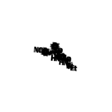 CCN1CC(NC(=O)c2ccc3c(C(=O)[C@@H](NCCc4ccc(C#N)cc4)c4ccccc4)c[nH]c3c2)C1